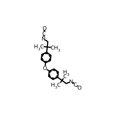 CC(C)(CN=C=O)c1ccc(Oc2ccc(C(C)(C)CN=C=O)cc2)cc1